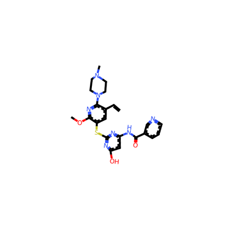 C=Cc1cc(Sc2nc(O)cc(NC(=O)c3cccnc3)n2)c(OC)nc1N1CCN(C)CC1